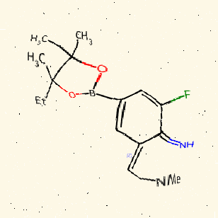 CCC1(C)OB(C2=C/C(=C/NC)C(=N)C(F)=C2)OC1(C)C